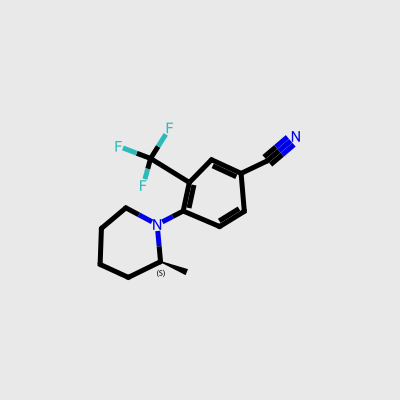 C[C@H]1CCCCN1c1ccc(C#N)cc1C(F)(F)F